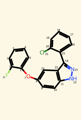 Fc1ccccc1Oc1ccc2[nH]nc(-c3ccccc3Cl)c2c1